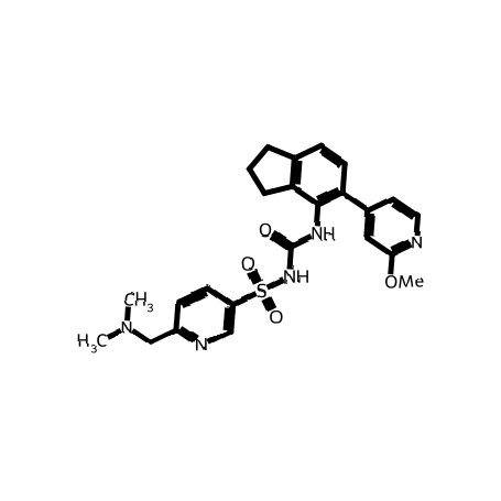 COc1cc(-c2ccc3c(c2NC(=O)NS(=O)(=O)c2ccc(CN(C)C)nc2)CCC3)ccn1